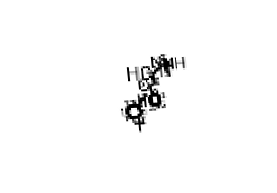 O=C(C=C(O)c1nc[nH]n1)c1cccn1Cc1cccc(F)c1